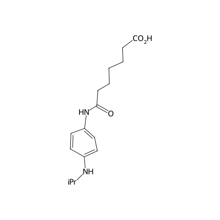 CC(C)Nc1ccc(NC(=O)CCCCCC(=O)O)cc1